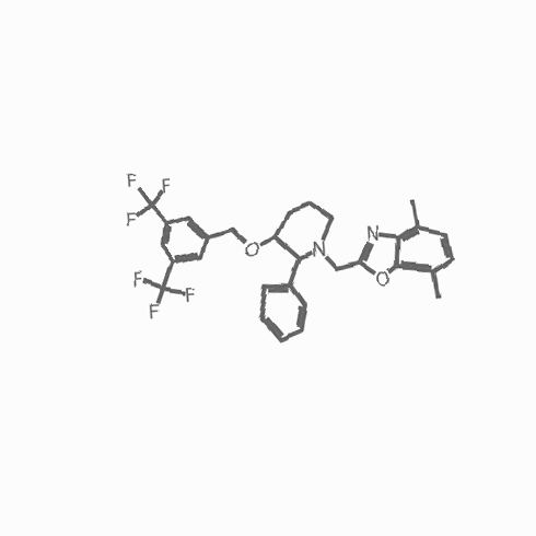 Cc1ccc(C)c2oc(CN3CCCC(OCc4cc(C(F)(F)F)cc(C(F)(F)F)c4)C3c3ccccc3)nc12